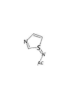 CC(=O)N=S1C=CN=C1